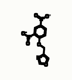 O=[N+]([O-])c1ccc(OCc2cocn2)c([N+](=O)[O-])c1